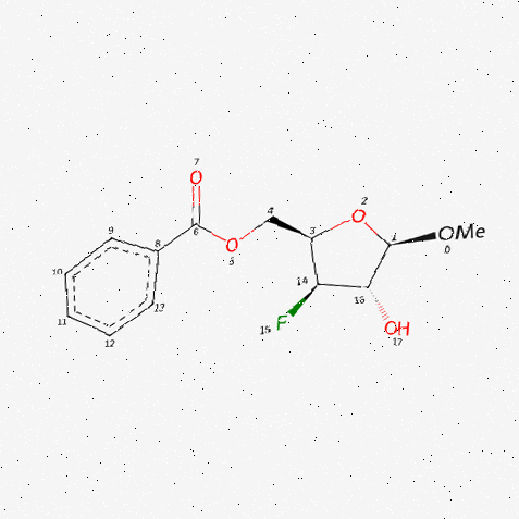 CO[C@@H]1O[C@H](COC(=O)c2ccccc2)[C@H](F)[C@H]1O